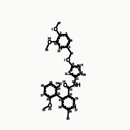 COc1ccc(COc2nnc(NC(=O)c3cnc(C)cc3-c3c(F)cccc3OC)s2)nc1OC